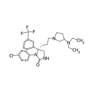 CCN(CC)C1CCN(CCC[C@]2(c3cccc(C(F)(F)F)c3)CNC(=O)N2c2ccc(Cl)cc2)C1